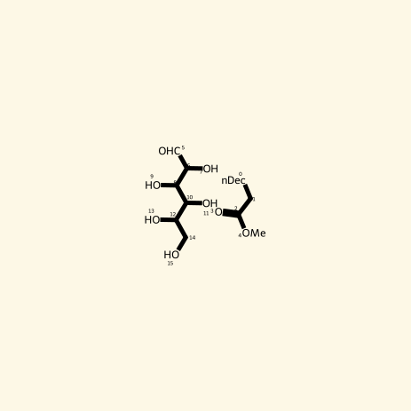 CCCCCCCCCCCC(=O)OC.O=CC(O)C(O)C(O)C(O)CO